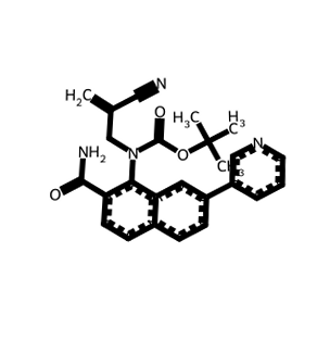 C=C(C#N)CN(C(=O)OC(C)(C)C)c1c(C(N)=O)ccc2ccc(-c3cccnc3)cc12